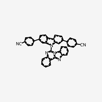 N#Cc1ccc(-c2ccc3c4ccc(-c5ccc(C#N)cc5)cc4n(-c4nc5ccccc5c5nc6ccccc6n45)c3c2)cc1